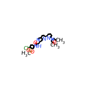 C[C@@H]1CN(c2cccc(-c3ccc4cnc(CC(=O)Nc5ccc(Cl)c(S(C)(=O)=O)c5)cc4n3)n2)C[C@H](C)O1